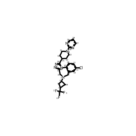 FC(F)(F)C1CC(N2Cc3cc(Cl)ccc3-n3c(nnc3C3CCN(c4ncccn4)CC3)C2)C1